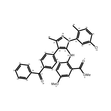 COC(=O)c1cc(OC)ccc1Nc1c(-c2ccc(C(=O)c3ccccc3)cc2)c(C)nn1-c1cc(Cl)ccc1C